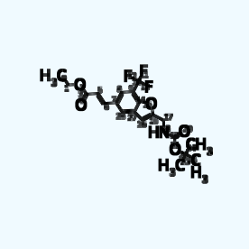 CCOC(=O)/C=C/c1cc(C(F)(F)F)c2oc(CNC(=O)OC(C)(C)C)cc2c1